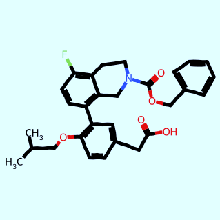 CC(C)COc1ccc(CC(=O)O)cc1-c1ccc(F)c2c1CN(C(=O)OCc1ccccc1)CC2